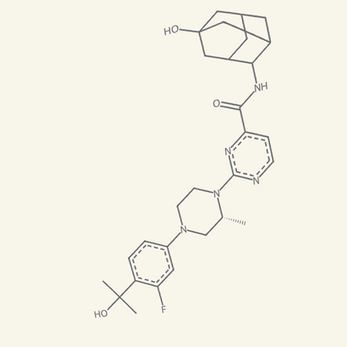 C[C@@H]1CN(c2ccc(C(C)(C)O)c(F)c2)CCN1c1nccc(C(=O)NC2C3CC4CC2CC(O)(C4)C3)n1